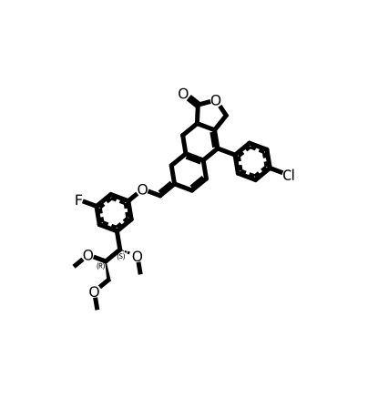 COC[C@@H](OC)[C@@H](OC)c1cc(F)cc(OC=C2C=CC3=C(C2)CC2C(=O)OCC2=C3c2ccc(Cl)cc2)c1